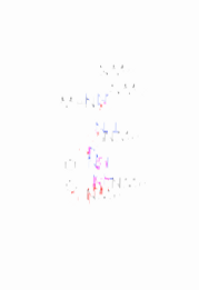 CNCCC[C@@H](CNC(=O)C(CCCNC(=O)[C@H](CCNC(=O)[C@@H]1Cc2cccc(c2)-c2ccc(O)c(c2)C[C@H](NC)C(=O)N[C@@H](C[C@@H](O)CNC)C(=O)N1)NC)NC)NC